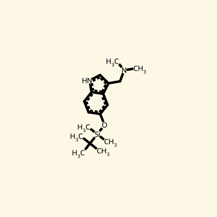 CN(C)Cc1c[nH]c2ccc(O[Si](C)(C)C(C)(C)C)cc12